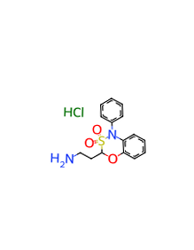 Cl.NCCC1Oc2ccccc2N(c2ccccc2)S1(=O)=O